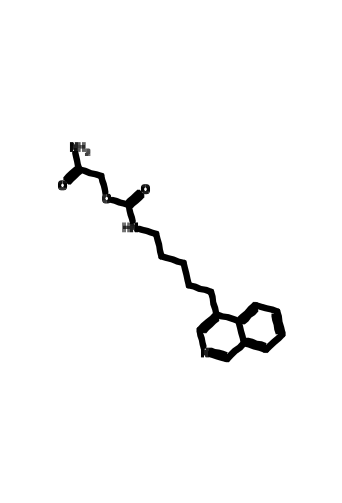 NC(=O)COC(=O)NCCCCCc1cncc2ccccc12